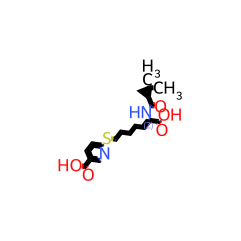 CC1(C)CC1C(=O)N/C(=C\CCCCSc1ccc(C(=O)O)cn1)C(=O)O